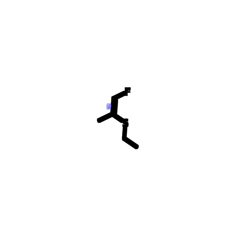 CCS/C(C)=C\F